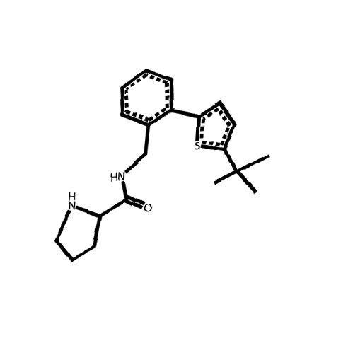 CC(C)(C)c1ccc(-c2ccccc2CNC(=O)C2CCCN2)s1